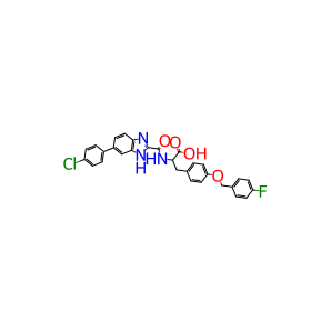 O=C(NC(Cc1ccc(OCc2ccc(F)cc2)cc1)C(=O)O)c1nc2ccc(-c3ccc(Cl)cc3)cc2[nH]1